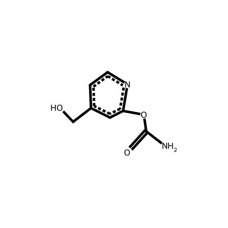 NC(=O)Oc1cc(CO)ccn1